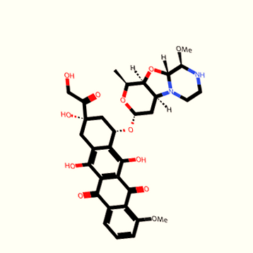 COc1cccc2c1C(=O)c1c(O)c3c(c(O)c1C2=O)C[C@@](O)(C(=O)CO)C[C@@H]3O[C@H]1C[C@H]2[C@H](O[C@@H]3[C@@H](OC)NCCN32)[C@H](C)O1